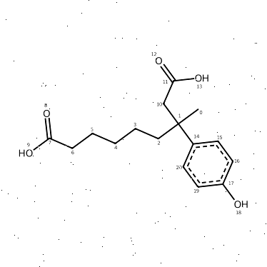 CC(CCCCCC(=O)O)(CC(=O)O)c1ccc(O)cc1